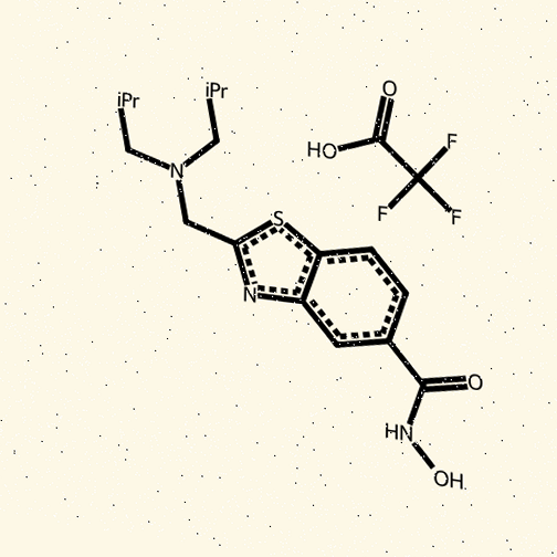 CC(C)CN(Cc1nc2cc(C(=O)NO)ccc2s1)CC(C)C.O=C(O)C(F)(F)F